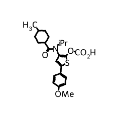 COc1ccc(-c2cc(N(C(=O)C3CCC(C)CC3)C(C)C)c(OC(=O)O)s2)cc1